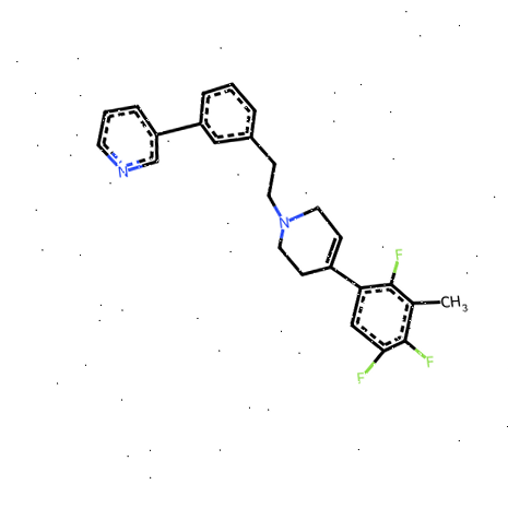 Cc1c(F)c(F)cc(C2=CCN(CCc3cccc(-c4cccnc4)c3)CC2)c1F